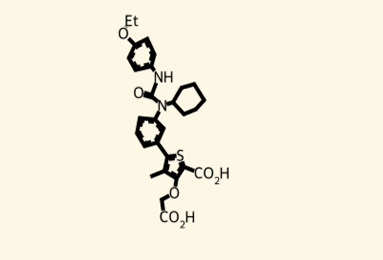 CCOc1ccc(NC(=O)N(c2cccc(-c3sc(C(=O)O)c(OCC(=O)O)c3C)c2)C2CCCCC2)cc1